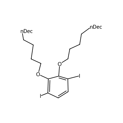 CCCCCCCCCCCCCCOc1c(I)ccc(I)c1OCCCCCCCCCCCCCC